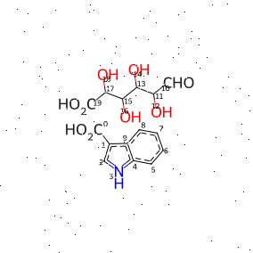 O=C(O)c1c[nH]c2ccccc12.O=CC(O)C(O)C(O)C(O)C(=O)O